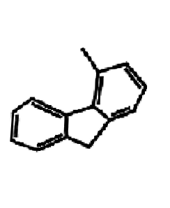 Cc1cccc2c1-c1ccccc1[CH]2